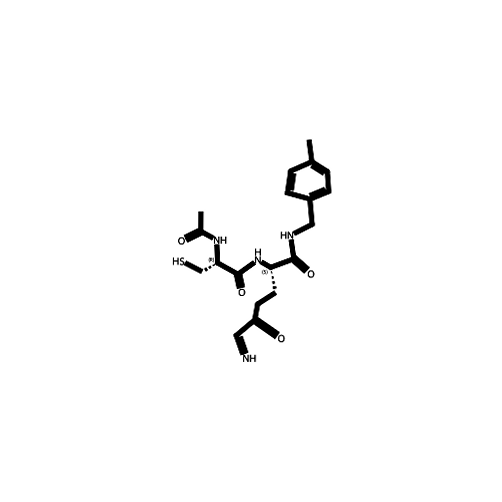 CC(=O)N[C@@H](CS)C(=O)N[C@@H](CCC(=O)C=N)C(=O)NCc1ccc(C)cc1